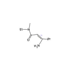 CCN(C)C(=O)/C=C(\N)C(C)C